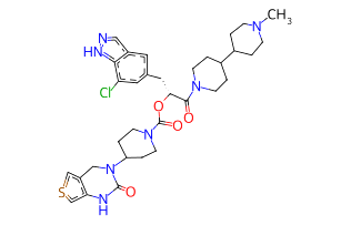 CN1CCC(C2CCN(C(=O)[C@@H](Cc3cc(Cl)c4[nH]ncc4c3)OC(=O)N3CCC(N4Cc5cscc5NC4=O)CC3)CC2)CC1